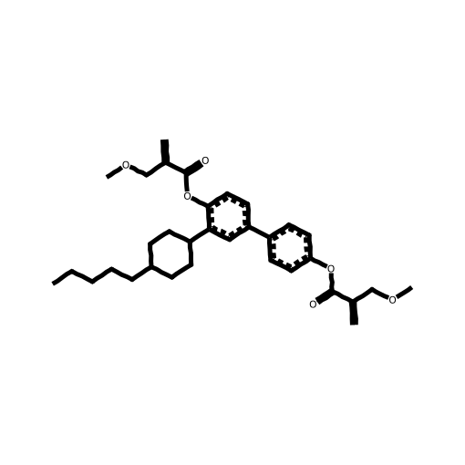 C=C(COC)C(=O)Oc1ccc(-c2ccc(OC(=O)C(=C)COC)c(C3CCC(CCCCC)CC3)c2)cc1